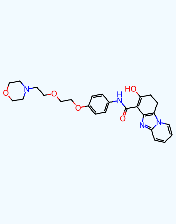 O=C(Nc1ccc(OCCOCCN2CCOCC2)cc1)C1=C(O)CCc2c1nc1ccccn21